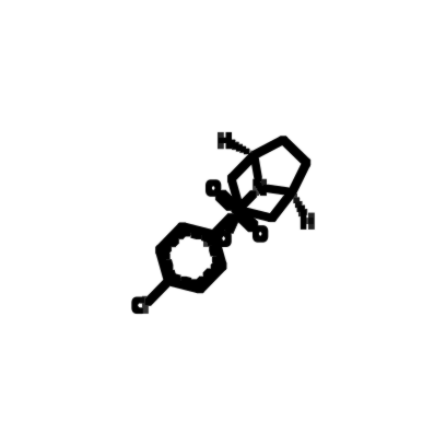 O=S(=O)(c1ccc(Cl)cc1)N1[C@@H]2CC[C@H]1C[C@@H](O)C2